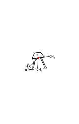 CC12CCC(C(=NO)C1=O)C(C)(C)O2